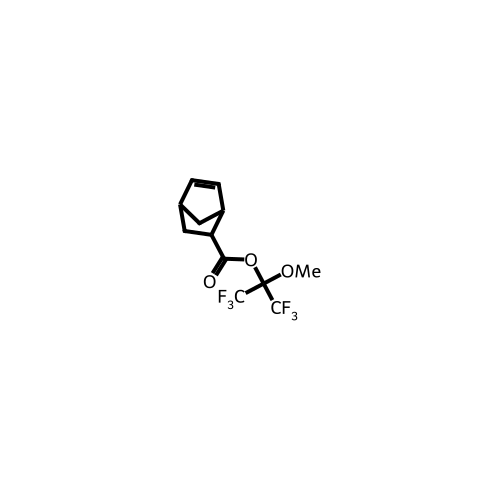 COC(OC(=O)C1CC2C=CC1C2)(C(F)(F)F)C(F)(F)F